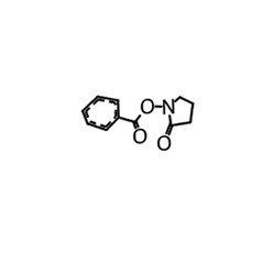 O=C(ON1CCCC1=O)c1ccccc1